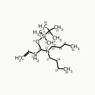 C=C[SiH2]C(O[Si](C)(C)C(C)(C)C)N(CCCC)CCCC